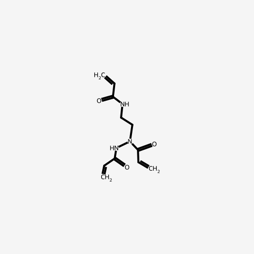 C=CC(=O)NCCN(NC(=O)C=C)C(=O)C=C